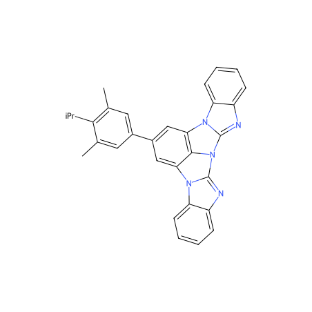 Cc1cc(-c2cc3c4c(c2)n2c5ccccc5nc2n4c2nc4ccccc4n32)cc(C)c1C(C)C